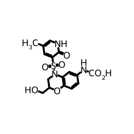 Cc1c[nH]c(=O)c(S(=O)(=O)N2CC(CO)Oc3ccc(NC(=O)O)cc32)c1